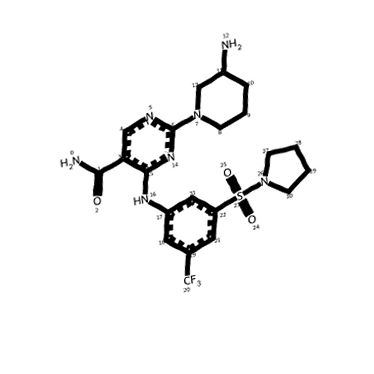 NC(=O)c1cnc(N2CCCC(N)C2)nc1Nc1cc(C(F)(F)F)cc(S(=O)(=O)N2CCCC2)c1